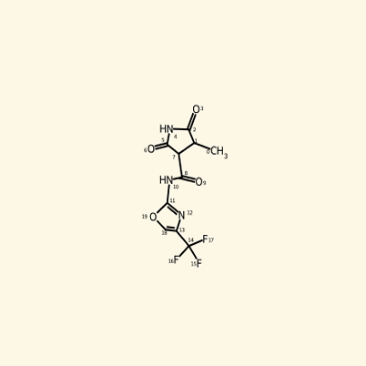 CC1C(=O)NC(=O)C1C(=O)Nc1nc(C(F)(F)F)co1